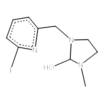 CN1CCN(Cc2cccc(I)n2)C1O